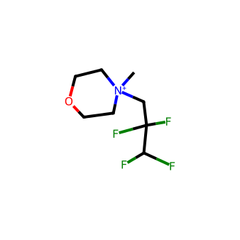 C[N+]1(CC(F)(F)C(F)F)CCOCC1